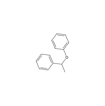 CC(Oc1ccccc1)c1ccccc1